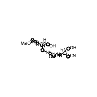 COCc1cccc(Cn2cc(-c3cc(-c4cccc(C#[N+]C5CCC(O)(c6cccc(Cn7cc(-c8cc(-c9cccc(C#N)c9)nc(NC9CCC(O)CC9)n8)nn7)n6)C5)c4)nc(NC4CCC(O)CC4)n3)nn2)n1